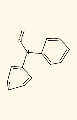 C=NN(c1ccccc1)c1ccccc1